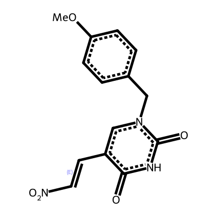 COc1ccc(Cn2cc(/C=C/[N+](=O)[O-])c(=O)[nH]c2=O)cc1